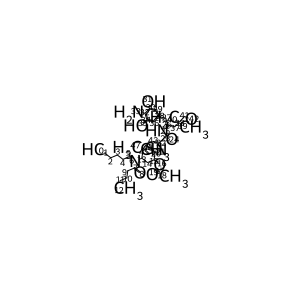 C#CCCCCN(C(=O)CCCC)C(CC(OC(C)=O)c1nc(C(=O)NC(Cc2cc(O)c(N)c(O)c2)CC(C)(C)C=O)cs1)C(C)C